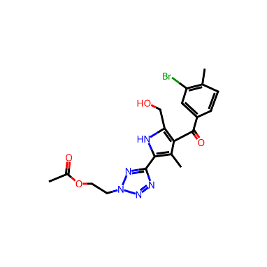 CC(=O)OCCn1nnc(-c2[nH]c(CO)c(C(=O)c3ccc(C)c(Br)c3)c2C)n1